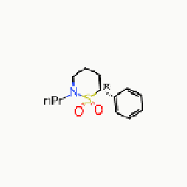 CCCN1CCC[C@H](c2ccccc2)S1(=O)=O